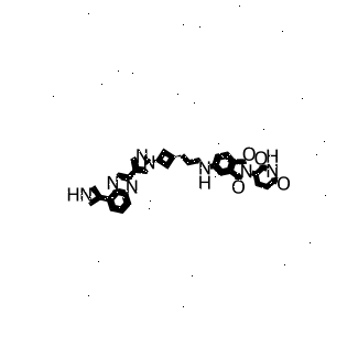 O=C1CCC(N2C(=O)c3ccc(NCCC[C@H]4C[C@H](n5cc(-c6cnc7c(C8CNC8)cccc7n6)cn5)C4)cc3C2=O)C(=O)N1